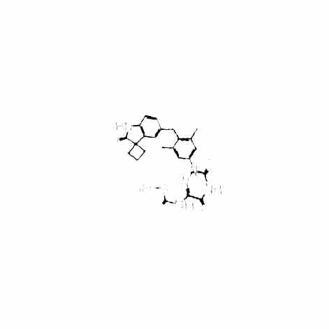 CCCCOC(=O)Nc1nn(-c2cc(C)c(Cc3ccc4c(c3)C3(CCC3)C(=O)N4)c(C)c2)c(=O)[nH]c1=O